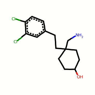 NCC1(CCc2ccc(Cl)c(Cl)c2)CCC(O)CC1